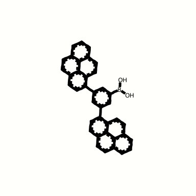 OB(O)c1cc(-c2ccc3ccc4cccc5ccc2c3c45)cc(-c2ccc3ccc4cccc5ccc2c3c45)c1